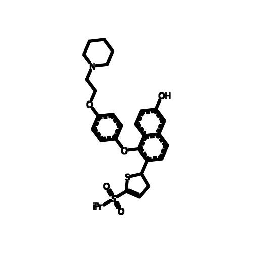 CC(C)S(=O)(=O)C1=CCC(c2ccc3cc(O)ccc3c2Oc2ccc(OCCN3CCCCC3)cc2)S1